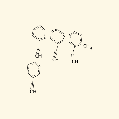 C.C#Cc1ccccc1.C#Cc1ccccc1.C#Cc1ccccc1.C#Cc1ccccc1